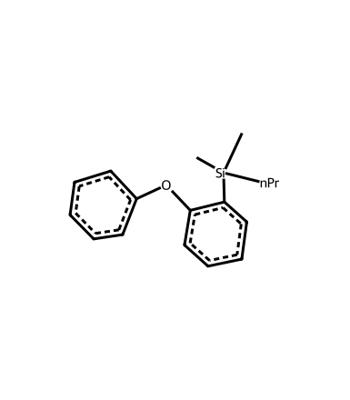 CCC[Si](C)(C)c1ccccc1Oc1ccccc1